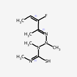 C/C=C(F)\C(C)=N\N(C)N(C)/C(S)=N\C